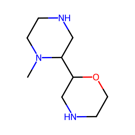 CN1CCNCC1C1CNCCO1